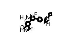 Nc1nc(F)c(-c2ccc([C@]34C[C@H]3CN(C3CCC3)C4)cc2)cc1-c1ccc2c(=O)[nH]cc(F)c2c1